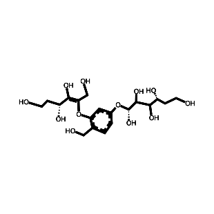 OCC[C@@H](O)/C(O)=C(/CO)Oc1cc(O[C@@H](O)C(O)C(O)[C@H](O)CCO)ccc1CO